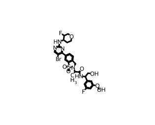 CC(C(=O)NC(CO)c1cc(F)cc(OO)c1)N1Cc2ccc(-c3nc(NC4CCOCC4F)ncc3Br)cc2S1(=O)=O